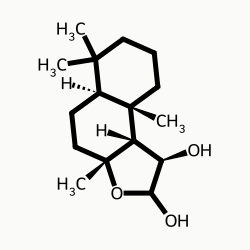 CC1(C)CCC[C@@]2(C)[C@H]1CC[C@@]1(C)OC(O)[C@H](O)[C@@H]21